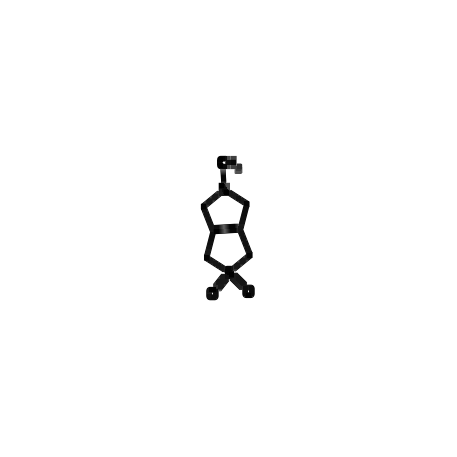 CN1CC2=C(C1)CS(=O)(=O)C2